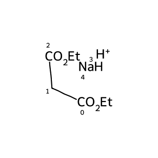 CCOC(=O)CC(=O)OCC.[H+].[NaH]